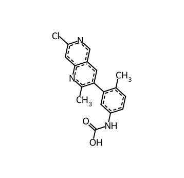 Cc1ccc(NC(=O)O)cc1-c1cc2cnc(Cl)cc2nc1C